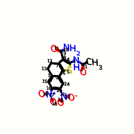 CC(=O)Nc1sc2c(c1C(N)=O)CCc1cc([N+](=O)[O-])c([N+](=O)[O-])cc1-2